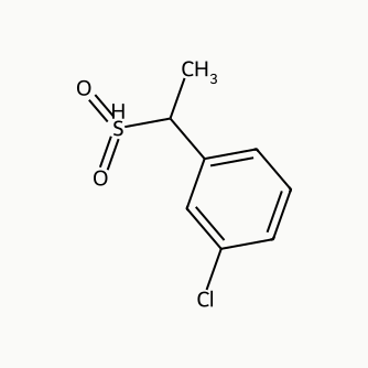 CC(c1cccc(Cl)c1)[SH](=O)=O